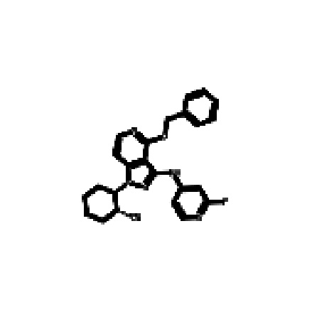 N#C[C@@H]1CCCC[C@H]1n1nc(Nc2ccnc(F)c2)c2c(OCc3ccccc3)nccc21